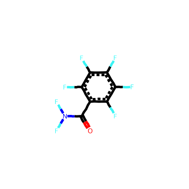 O=C(c1c(F)c(F)c(F)c(F)c1F)N(F)F